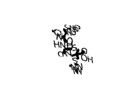 CON=C(C(=O)NC1C(=O)N2CC(CSc3nnnn3C)(C(=O)O)CS[C@H]12)c1csc(=NS(C)(=O)=O)n1C